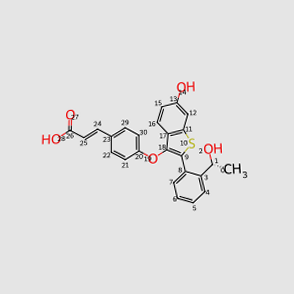 C[C@@H](O)c1ccccc1-c1sc2cc(O)ccc2c1Oc1ccc(C=CC(=O)O)cc1